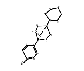 Brc1ccc(C23OCC(C4CCCCC4)(CO2)CO3)cc1